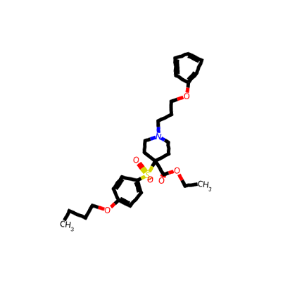 CCCCOc1ccc(S(=O)(=O)C2(C(=O)OCC)CCN(CCCOc3ccccc3)CC2)cc1